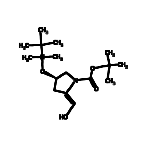 CC(C)(C)OC(=O)N1C[C@H](O[Si](C)(C)C(C)(C)C)CC1=CO